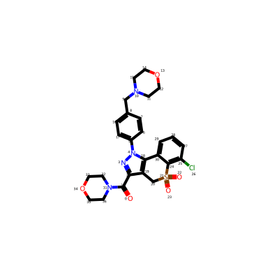 O=C(c1nn(-c2ccc(CN3CCOCC3)cc2)c2c1CS(=O)(=O)c1c(Cl)cccc1-2)N1CCOCC1